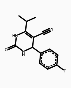 CC(C)C1=C(C#N)C(c2ccc(F)cc2)NC(=O)N1